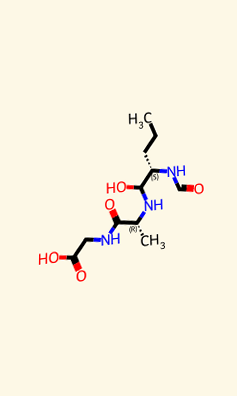 CCC[C@H](NC=O)C(O)N[C@H](C)C(=O)NCC(=O)O